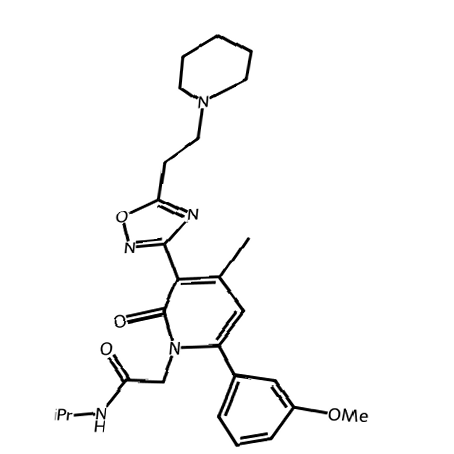 COc1cccc(-c2cc(C)c(-c3noc(CCN4CCCCC4)n3)c(=O)n2CC(=O)NC(C)C)c1